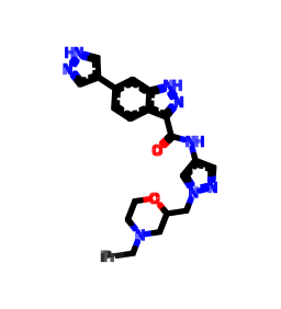 CC(C)CN1CCOC(Cn2cc(NC(=O)c3n[nH]c4cc(-c5cn[nH]c5)ccc34)cn2)C1